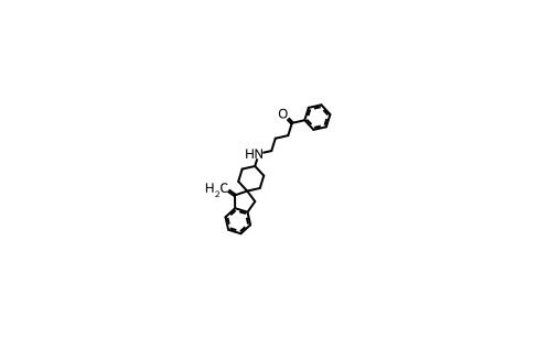 C=C1c2ccccc2CC12CCC(NCCCC(=O)c1ccccc1)CC2